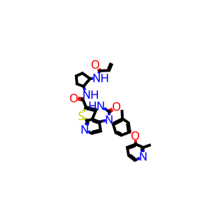 C=CC(=O)NC1CCCC1NC(=O)c1sc2nccc3c2c1NC(=O)N3c1ccc(Oc2cccnc2C)cc1C